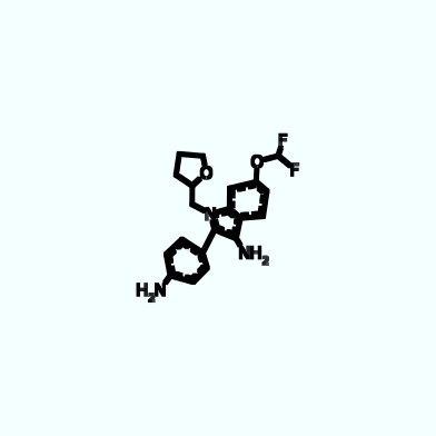 Nc1ccc(-c2c(N)c3ccc(OC(F)F)cc3n2CC2CCCO2)cc1